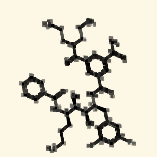 CCCC[C@@H](NC(=O)c1ccccc1)[C@@H](O)[C@H](O)[C@H](Cc1cc(F)cc(F)c1)NC(=O)c1cc(C(N)=O)cc(C(=O)N(CCC)CCC)c1